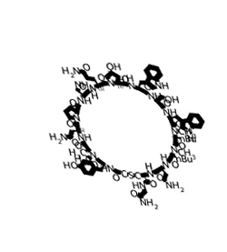 CCCC[C@H]1C(=O)N(C)[C@@H](CCCC)C(=O)N[C@@H](CCN)C(=O)N[C@H](C(=O)NCC(N)=O)CSCC(=O)N[C@@H](Cc2ccc(O)cc2)C(=O)N(C)[C@@H](C)C(=O)N[C@@H](CC(N)=O)C(=O)N2CCC[C@H]2C(=O)N[C@@H](CN)C(=O)N[C@@H](CCC(N)=O)C(=O)N2C[C@H](O)C[C@H]2C(=O)N[C@@H](Cc2c[nH]c3ccccc23)C(=O)NC(CO)C(=O)N[C@@H](Cc2c[nH]c3ccccc23)C(=O)N1C